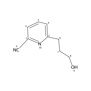 N#Cc1cccc(CCCO)n1